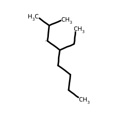 CCCCC([CH]C(C)C)CC